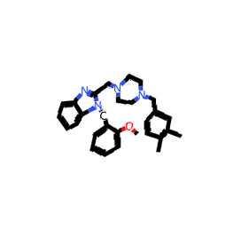 COc1ccccc1Cn1c(CN2CCN(Cc3ccc(C)c(C)c3)CC2)nc2ccccc21